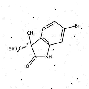 CCOC(=O)[C@@]1(C)C(=O)Nc2cc(Br)ccc21